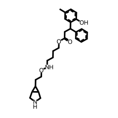 Cc1ccc(O)c(C(CC(=O)OCCCCNOCCC2C3CNCC23)c2ccccc2)c1